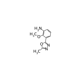 COc1c(N)cccc1-c1nnc(C)o1